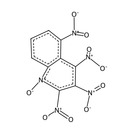 O=[N+]([O-])c1c([N+](=O)[O-])c2c([N+](=O)[O-])cccc2[n+]([O-])c1[N+](=O)[O-]